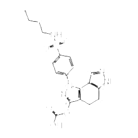 CCCCNS(=O)(=O)c1ccc(-n2nc(OC(=O)O)c3c2-c2cn[nH]c2CC3)cc1